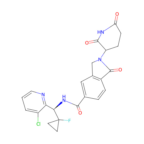 O=C1CCC(N2Cc3cc(C(=O)N[C@H](c4ncccc4Cl)C4(F)CC4)ccc3C2=O)C(=O)N1